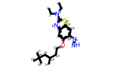 CCN(CC)c1nc2cc(OCCC(C)CC(C)(C)C)c(N=N)cc2s1